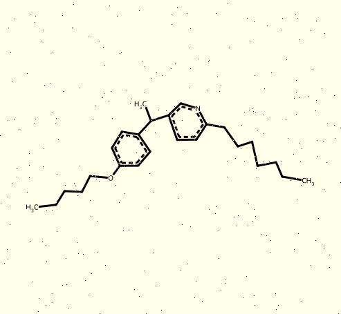 CCCCCCCc1ccc(C(C)c2ccc(OCCCCC)cc2)cn1